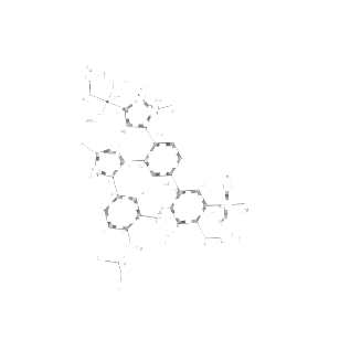 Cc1nc(-c2ccc(OC(F)F)c(F)c2)c(-c2cc(-c3cc(F)c(CO)c(S(C)(=O)=O)c3)ccc2-c2cc(C(F)(F)CO)nn2C)o1